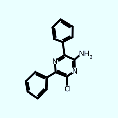 Nc1nc(Cl)c(-c2ccccc2)nc1-c1ccccc1